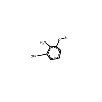 CCOc1cccc(C=O)c1N